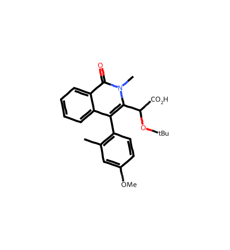 COc1ccc(-c2c(C(OC(C)(C)C)C(=O)O)n(C)c(=O)c3ccccc23)c(C)c1